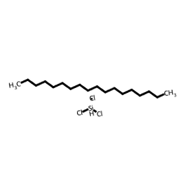 CCCCCCCCCCCCCCCCCC.Cl[SiH](Cl)Cl